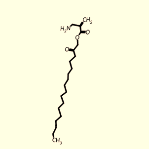 C=C(CN)C(=O)OCC(=O)CCCCCCCCCCCCCCC